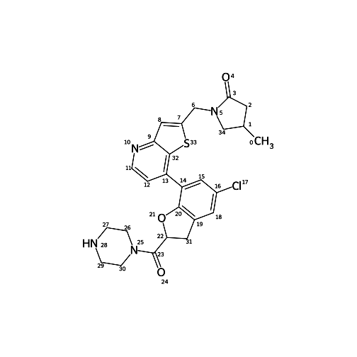 CC1CC(=O)N(Cc2cc3nccc(-c4cc(Cl)cc5c4OC(C(=O)N4CCNCC4)C5)c3s2)C1